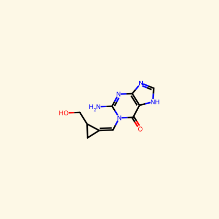 Nc1nc2nc[nH]c2c(=O)n1C=C1CC1CO